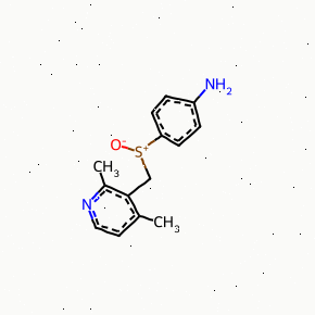 Cc1ccnc(C)c1C[S+]([O-])c1ccc(N)cc1